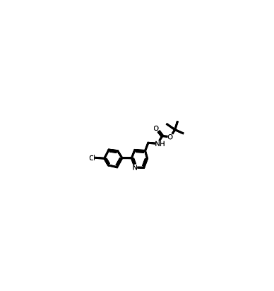 CC(C)(C)OC(=O)NCc1ccnc(-c2ccc(Cl)cc2)c1